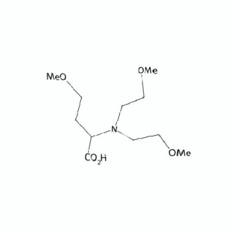 COCCC(C(=O)O)N(CCOC)CCOC